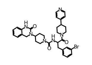 O=C(NC(Cc1cccc(Br)c1)C(=O)N1CCC(c2ccncc2)CC1)N1CCC(N2Cc3ccccc3NC2=O)CC1